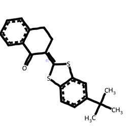 CC(C)(C)c1ccc2c(c1)S/C(=C1\CCc3ccccc3C1=O)S2